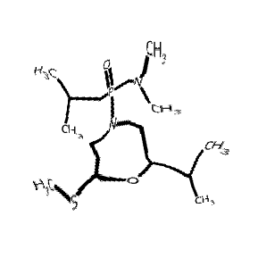 CSC1CN(P(=O)(C(C)C)N(C)C)CC(C(C)C)O1